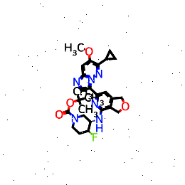 COc1cc2ncc(-c3cc4c(c(N[C@H]5CN(C(=O)OC(C)(C)C)CC[C@@H]5F)n3)COC4)n2nc1C1CC1